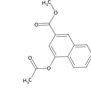 COC(=O)c1cc(OC(C)=O)c2ccccc2c1